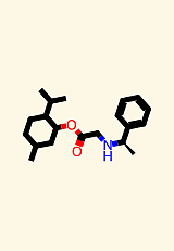 CC1CCC(C(C)C)C(OC(=O)CN[C@H](C)c2ccccc2)C1